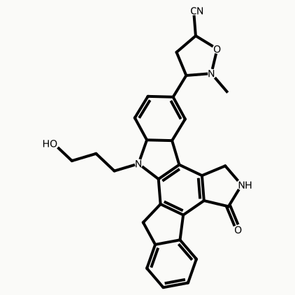 CN1OC(C#N)CC1C1=CC2c3c4c(c5c(c3N(CCCO)C2C=C1)Cc1ccccc1-5)C(=O)NC4